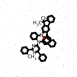 Cc1ccccc1-c1nc(-c2ccccc2)cc(N(c2ccc3ccccc3c2)c2ccccc2-n2c3ccccc3c3cc4c(cc32)C(C)(C)c2ccccc2-4)n1